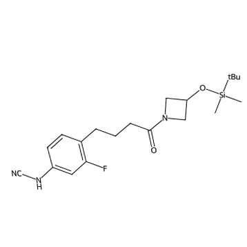 CC(C)(C)[Si](C)(C)OC1CN(C(=O)CCCc2ccc(NC#N)cc2F)C1